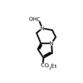 CCOC(=O)c1cc2n(c1)CCN(C=O)C2